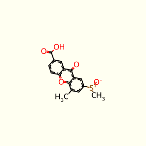 Cc1cc([S+](C)[O-])cc2c(=O)c3cc(C(=O)O)ccc3oc12